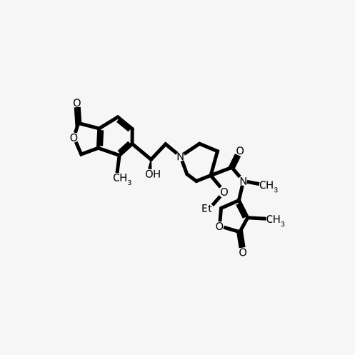 CCOC1(C(=O)N(C)C2=C(C)C(=O)OC2)CCN(C[C@@H](O)c2ccc3c(c2C)COC3=O)CC1